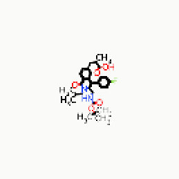 CC(C)Cn1c(CNC(=O)OC(C)(C)C)c(-c2ccc(F)cc2)c2cc(CC(C)C(=O)O)ccc2c1=O